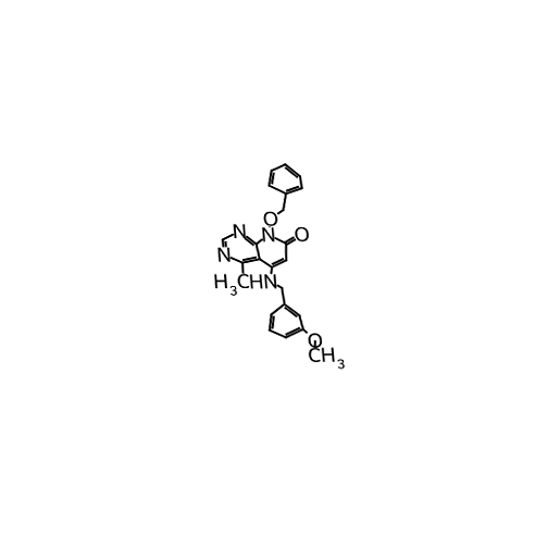 COc1cccc(CNc2cc(=O)n(OCc3ccccc3)c3ncnc(C)c23)c1